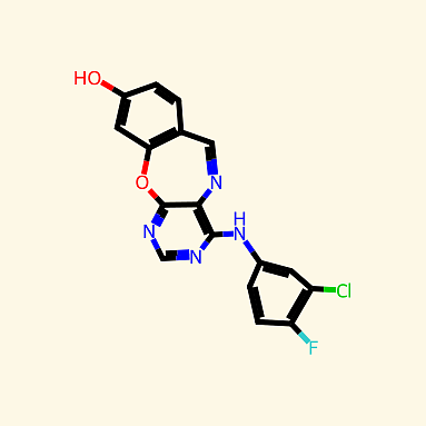 Oc1ccc2c(c1)Oc1ncnc(Nc3ccc(F)c(Cl)c3)c1N=C2